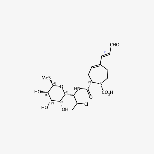 CS[C@H]1O[C@H](C(NC(=O)[C@@H]2CC=C(/C=C/C=O)CCN2C(=O)O)C(C)Cl)[C@H](O)[C@H](O)[C@H]1O